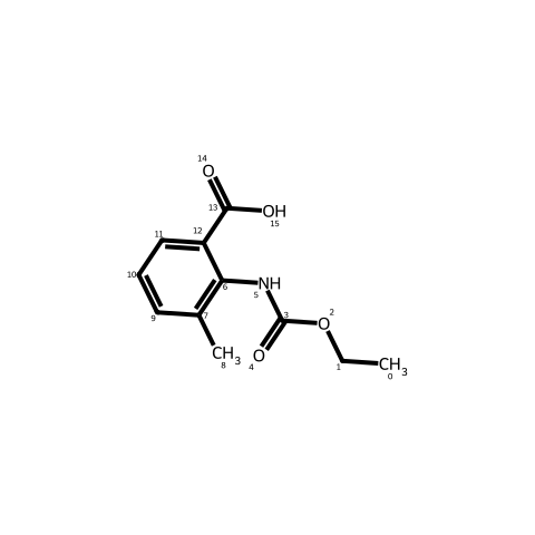 CCOC(=O)Nc1c(C)cccc1C(=O)O